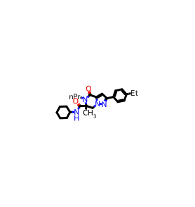 CCCN1C(=O)c2cc(-c3ccc(CC)cc3)nn2CC1(C)C(=O)NC1CCCCC1